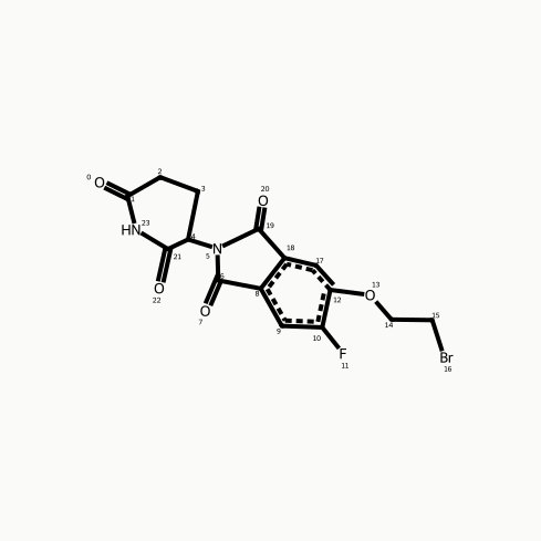 O=C1CCC(N2C(=O)c3cc(F)c(OCCBr)cc3C2=O)C(=O)N1